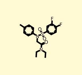 CCN(CC)C(=O)CN(c1ccc(C)cc1)S(=O)(=O)c1ccc(F)c(F)c1